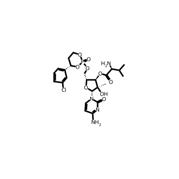 CC(C)[C@H](N)C(=O)O[C@@H]1[C@@H](COP2(=O)OCC[C@@H](c3cccc(Cl)c3)O2)O[C@@H](n2ccc(N)nc2=O)[C@]1(C)O